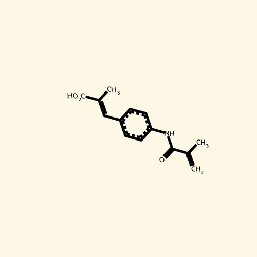 C=C(C)C(=O)Nc1ccc(C=C(C)C(=O)O)cc1